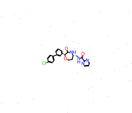 O=C(NC[C@@H]1CCO[C@@H](c2cccc(-c3ccc(Cl)cc3)c2)C(=O)N1)c1ncccn1